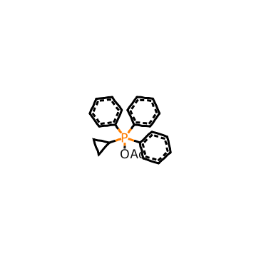 CC(=O)OP(c1ccccc1)(c1ccccc1)(c1ccccc1)C1CC1